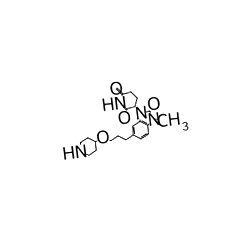 Cn1c(=O)n(C2CCC(=O)NC2=O)c2cc(CCCOC3CCNCC3)ccc21